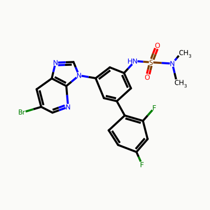 CN(C)S(=O)(=O)Nc1cc(-c2ccc(F)cc2F)cc(-n2cnc3cc(Br)cnc32)c1